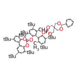 Cc1c(C(C)(C)C)cc(C(C)(C)C)c(OP2OCC3(COC(c4ccccc4)OC3)CO2)c1-c1c(C)c(C(C)(C)C)cc(C(C)(C)C)c1Op1oc2c(C(C)(C)C)cc(C(C)(C)C)cc2c2cc(C(C)(C)C)cc(C(C)(C)C)c2o1